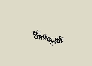 O=C(CSc1ccc(C(F)(F)F)cn1)N1CCC(c2nc(C3=NOC(c4c(Cl)cccc4Cl)C3)cs2)CC1